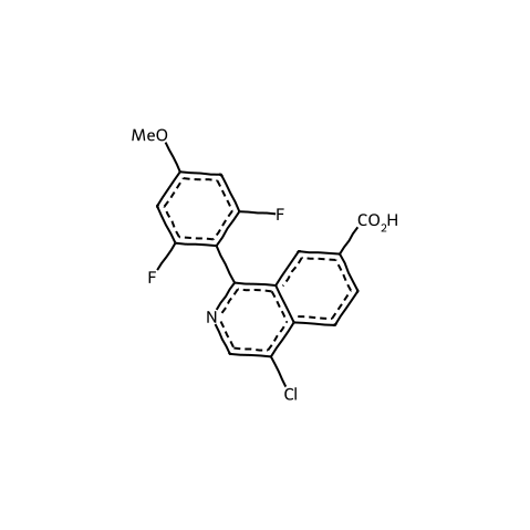 COc1cc(F)c(-c2ncc(Cl)c3ccc(C(=O)O)cc23)c(F)c1